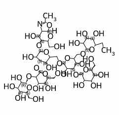 CCC1O[C@H](OCC2O[C@H](OCC3O[C@@H](O[C@@H]4C(CO)O[C@@H]5OC(C)=NC5[C@H]4O)C(O)[C@@H](O[C@H]4O[C@@H](CO)[C@@H](O)C(O)C4O[C@H]4O[C@@H](CO)[C@@H](O)C(O)C4O)[C@@H]3O)C(O)[C@@H](O[C@H]3O[C@@H](CO)[C@@H](O)C(O)C3O)[C@@H]2O)C(O)[C@@H](O)[C@@H]1O